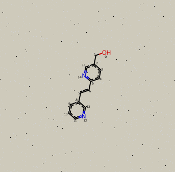 OCc1ccc(/C=C/c2cccnc2)nc1